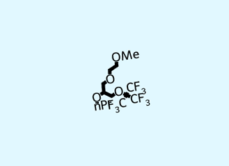 CCCOC(COCCOC)COC(C(F)(F)F)(C(F)(F)F)C(F)(F)F